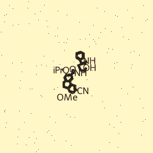 COc1cc2c(cc1C#N)-c1cc(C(=O)NC(CO)Cc3c[nH]c4ccccc34)c(OC(C)C)cc1CC2